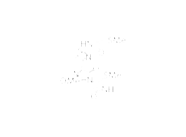 CO/N=C(\C(=O)N[C@@H]1C(=O)N[C@H]1SC)c1csc(NC(=O)CSC)n1